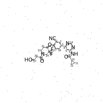 N#Cc1cc(-c2cc(NC(=O)C3CC3)ncn2)ccc1OC1CCN(C(=O)CCO)CC1(F)F